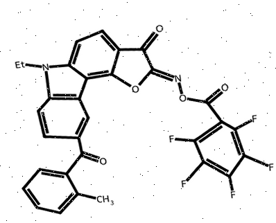 CCn1c2ccc(C(=O)c3ccccc3C)cc2c2c3c(ccc21)C(=O)/C(=N/OC(=O)c1c(F)c(F)c(F)c(F)c1F)O3